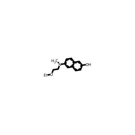 CCOCCN(C)c1ccc2cc(O)ccc2c1